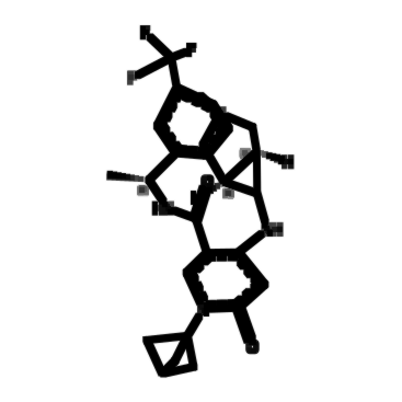 C[C@@H](NC(=O)c1cn(C23CC(C2)C3)c(=O)cc1NC1[C@H]2CN(C)C[C@@H]12)c1cccc(C(F)(F)F)c1